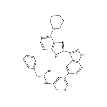 OC(Cc1ccccc1)Nc1cncc(-c2cnc3[nH]nc(-c4nc5c(N6CCCCC6)nccc5[nH]4)c3c2)c1